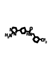 Nc1nccc(-c2ccc(C(=O)NCc3cccc(C(F)(F)F)c3)cc2)n1